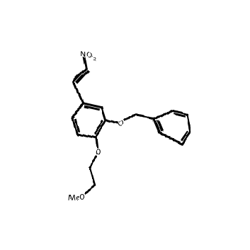 COCCOc1ccc(C=C[N+](=O)[O-])cc1OCc1ccccc1